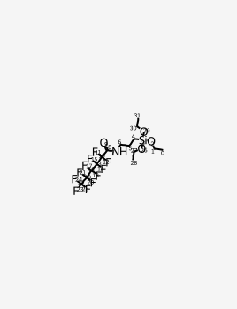 CCO[Si](CCCNC(=O)C(F)(F)C(F)(F)C(F)(F)C(F)(F)C(F)(F)F)(OCC)OCC